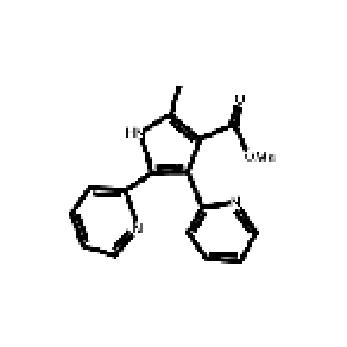 COC(=O)c1c(C)[nH]c(-c2ccccn2)c1-c1ccccn1